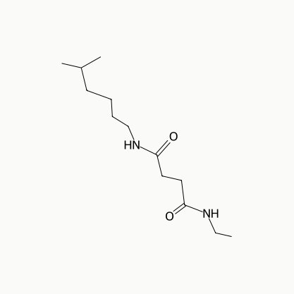 CCNC(=O)CCC(=O)NCCCCC(C)C